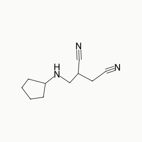 N#CCC(C#N)CNC1CCCC1